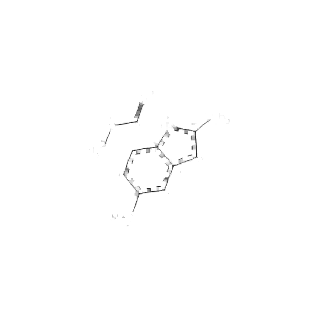 COC=O.COc1ccc2[nH]c(C)cc2c1